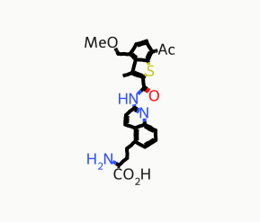 COCc1ccc(C(C)=O)c2sc(C(=O)Nc3ccc4c(CC[C@H](N)C(=O)O)cccc4n3)c(C)c12